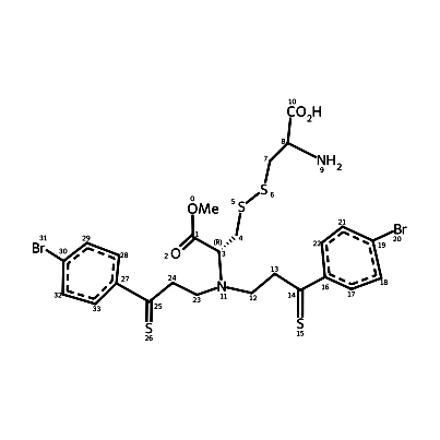 COC(=O)[C@H](CSSCC(N)C(=O)O)N(CCC(=S)c1ccc(Br)cc1)CCC(=S)c1ccc(Br)cc1